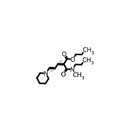 CCCOC(=O)/C(=C/C=C/N1CCCCC1)C(=O)N(C)CCC